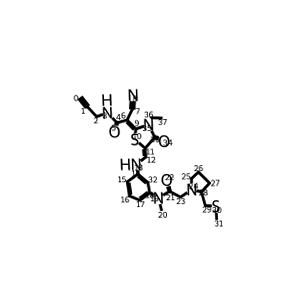 C#CCNC(=O)C(C#N)=c1sc(=CNc2cccc(N(C)C(=O)CN3CCCC3CSC)c2)c(=O)n1CC